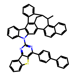 CC1c2c(ccc3ccccc23)-c2cc3c(c4c2CC1c1ccccc1-4)c1ccccc1n3-c1nc(-c2ccc(-c3ccccc3)cc2)c2sc3ccccc3c2n1